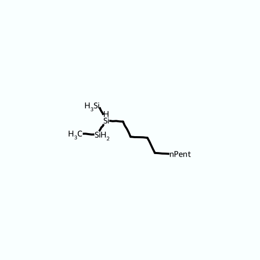 CCCCCCCCC[SiH]([SiH3])[SiH2]C